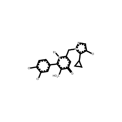 CCn1c(Cn2ncc(Cl)c2C2CC2)cc(=O)c(C(=O)O)c1-c1ccc(Cl)c(Cl)c1